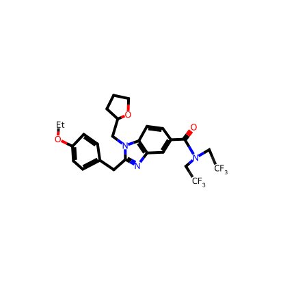 CCOc1ccc(Cc2nc3cc(C(=O)N(CC(F)(F)F)CC(F)(F)F)ccc3n2CC2CCCO2)cc1